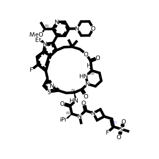 CCn1c(-c2cc(N3CCOCC3)cnc2[C@H](C)OC)c2c3cc(c(F)cc31)-c1csc(n1)C[C@H](NC(=O)[C@H](C(C)C)N(C)C(=O)N1CC(/C=C(\F)S(C)(=O)=O)C1)C(=O)N1CCC[C@H](N1)C(=O)OCC(C)(C)C2